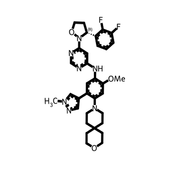 COc1cc(N2CCC3(CCOCC3)CC2)c(-c2cnn(C)c2)cc1Nc1cc(N2OCC[C@@H]2c2cccc(F)c2F)ncn1